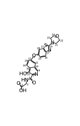 O=C(O)CNC(=O)c1ncc2cc(Oc3ccc4nc(N5CCOCC5)sc4c3)ccc2c1O